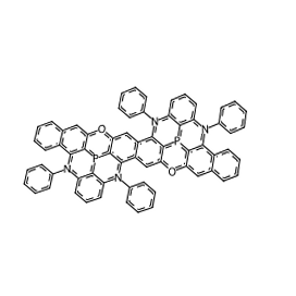 c1ccc(-n2c3cccc4c3p3c5c(cc6ccccc6c52)oc2cc5c(cc6oc7cc8ccccc8c8c7p7c9c(cccc9n(-c9ccccc9)c5c67)n8-c5ccccc5)c(c23)n4-c2ccccc2)cc1